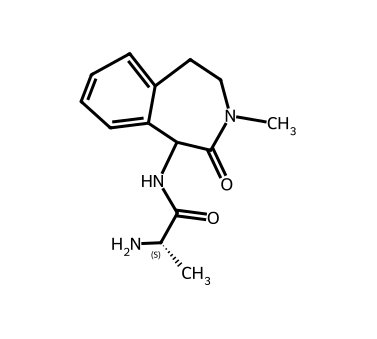 C[C@H](N)C(=O)NC1C(=O)N(C)CCc2ccccc21